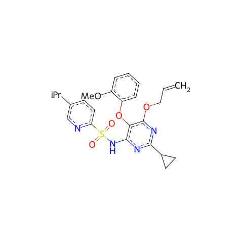 C=CCOc1nc(C2CC2)nc(NS(=O)(=O)c2ccc(C(C)C)cn2)c1Oc1ccccc1OC